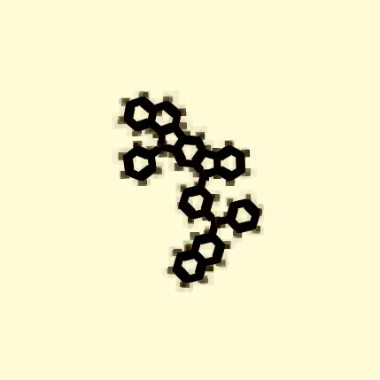 c1ccc(N(c2cccc(-n3c4ccccc4c4cc5c6ccc7ccccc7c6n(-c6ccccc6)c5cc43)c2)c2ccc3ccccc3c2)cc1